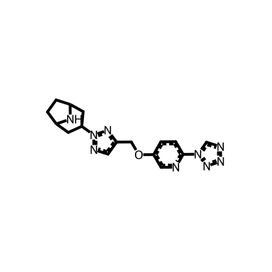 c1cc(-n2cnnn2)ncc1OCc1cnn(C2CC3CCC(C2)N3)n1